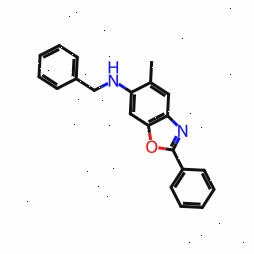 Cc1cc2nc(-c3ccccc3)oc2cc1NCc1ccccc1